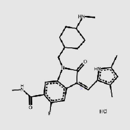 CNC(=O)c1cc2c(cc1F)/C(=C/c1[nH]c(C)cc1C)C(=O)N2CC1CCC(NC)CC1.Cl